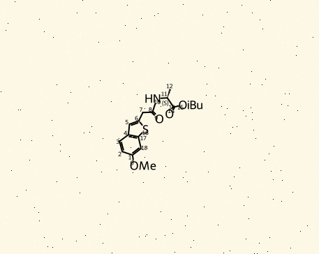 COc1ccc2cc(CC(=O)N[C@@H](C)C(=O)OCC(C)C)sc2c1